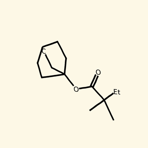 CCC(C)(C)C(=O)OC12CCC(CC1)CC2